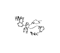 CC1=CCN(C(=O)C(CCn2cccc2C#N)NS(=O)(=O)c2cccc3[nH]ccc23)CC1